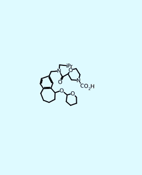 CC(C)CN(Cc1ccc2c(c1)C(OC1CCCCO1)CCCC2)C(=O)C1CN(C(=O)O)CCO1